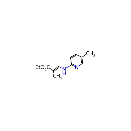 CCOC(=O)C(C)=CNc1ccc(C)cn1